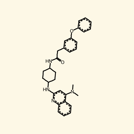 CN(C)c1cc(NC2CCC(NC(=O)Cc3cccc(Oc4ccccc4)c3)CC2)nc2ccccc12